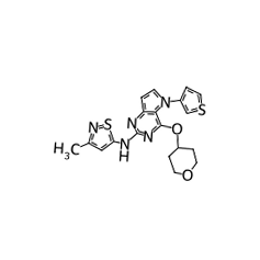 Cc1cc(Nc2nc(OC3CCOCC3)c3c(ccn3-c3ccsc3)n2)sn1